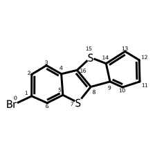 Brc1ccc2c(c1)sc1c3ccccc3sc21